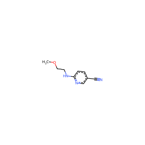 COCCNc1ccc(C#N)cn1